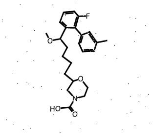 COC(CCCCC1CN(C(=O)O)CCO1)c1cccc(F)c1-c1cccc(C)c1